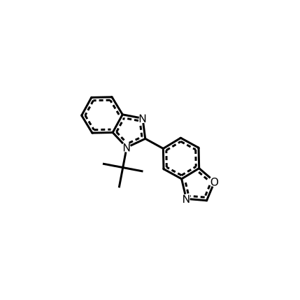 CC(C)(C)n1c(-c2ccc3ocnc3c2)nc2ccccc21